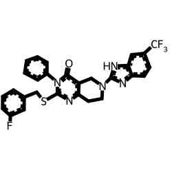 O=c1c2c(nc(SCc3cccc(F)c3)n1-c1ccccc1)CCN(c1nc3ccc(C(F)(F)F)cc3[nH]1)C2